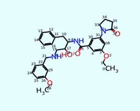 CCOc1cc(C(=O)NC(Cc2ccccc2)C(O)CNCc2cccc(OC)c2)cc(N2CCCC2=O)c1